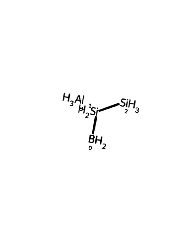 B[SiH2][SiH3].[AlH3]